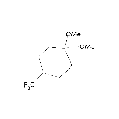 COC1(OC)CCC(C(F)(F)F)CC1